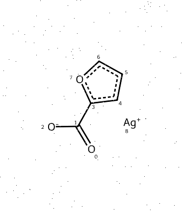 O=C([O-])c1ccco1.[Ag+]